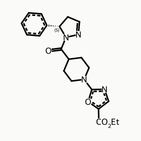 CCOC(=O)c1cnc(N2CCC(C(=O)N3N=CC[C@H]3c3ccccc3)CC2)o1